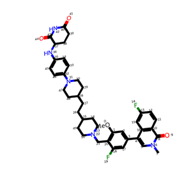 COc1cc(-c2cn(C)c(=O)c3ccc(F)cc23)cc(F)c1CN1CCC(CCC2CCN(c3ccc(NC4CCC(=O)NC4=O)cc3)CC2)CC1